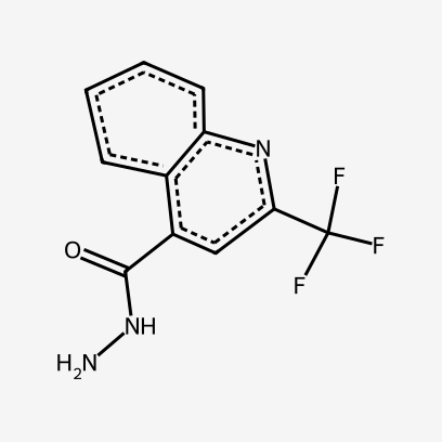 NNC(=O)c1cc(C(F)(F)F)nc2ccccc12